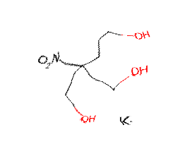 O=[N+]([O-])C(CO)(CO)CO.[K]